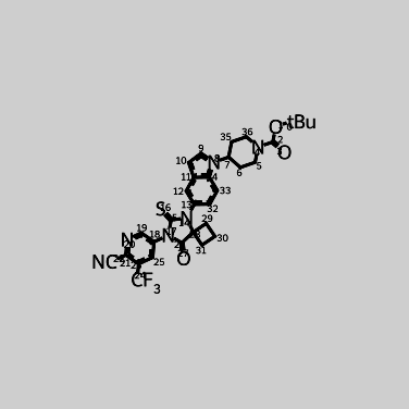 CC(C)(C)OC(=O)N1CCC(n2ccc3cc(N4C(=S)N(c5cnc(C#N)c(C(F)(F)F)c5)C(=O)C45CCC5)ccc32)CC1